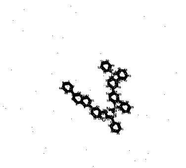 c1ccc(-c2ccc3cc(-c4ccc5oc6c(-c7ccccc7)nc(-n7c8ccccc8c8cc(-c9ccc%10c(c9)c9ccccc9n%10-c9ccccc9)ccc87)nc6c5c4)ccc3c2)cc1